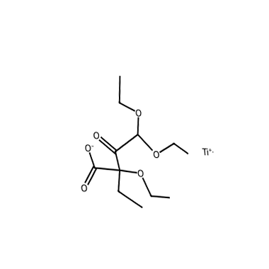 CCOC(OCC)C(=O)C(CC)(OCC)C(=O)[O-].[Ti+]